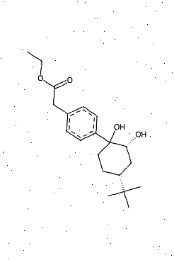 CCOC(=O)Cc1ccc(C2(O)CC[C@@H](C(C)(C)C)C[C@H]2O)cc1